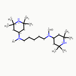 CC(=O)N(CCCCCN(C=O)C1CC(C)(C)NC(C)(C)C1)C1CC(C)(C)NC(C)(C)C1